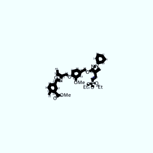 CCOP(=O)(/C=C/c1cn(-c2ccccc2)nc1OCc1ccc(OCc2nc(-c3ccc(C)c(C(=O)OC)c3)oc2C)c(OC)c1)OCC